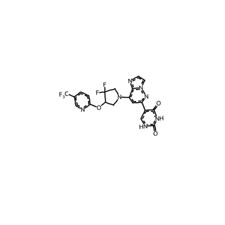 O=c1[nH]cc(-c2cc(N3CC(Oc4ccc(C(F)(F)F)cn4)C(F)(F)C3)c3nccn3n2)c(=O)[nH]1